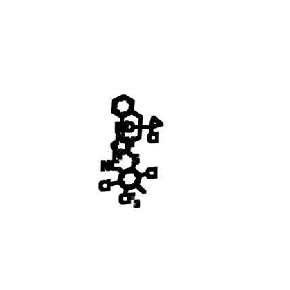 Cc1c(Cl)c(Sc2ncnn2CC(O)(Cc2ccccc2Cl)C2(Cl)CC2)c(C#N)c(Cl)c1C(F)(F)F